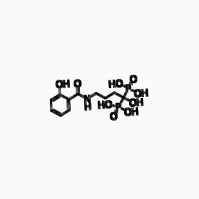 O=C(NCCCC(O)(P(=O)(O)O)P(=O)(O)O)c1ccccc1O